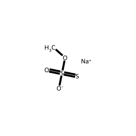 COS(=O)([O-])=S.[Na+]